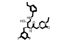 CCc1cccc(CNC[C@@H](O)[C@H](Cc2cc(F)cc(F)c2)NC(=O)CN2CCN(CC)C(=O)C2)c1